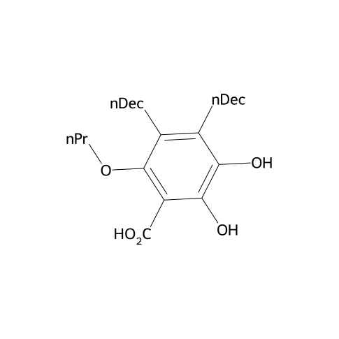 CCCCCCCCCCc1c(O)c(O)c(C(=O)O)c(OCCC)c1CCCCCCCCCC